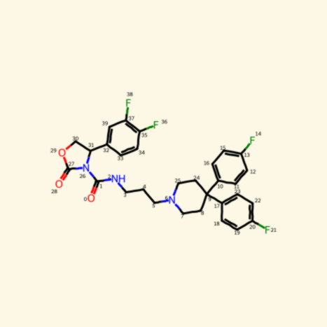 O=C(NCCCN1CCC(c2ccc(F)cc2)(c2ccc(F)cc2)CC1)N1C(=O)OCC1c1ccc(F)c(F)c1